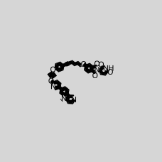 Cn1c2ccncc2c2ccc(-c3ccc(OC4CC(Oc5ccc(C#CCCCCOc6ccc7c(c6)C(=O)N(C6CCC(=O)NC6=O)C7=O)cc5)C4)nc3)cc21